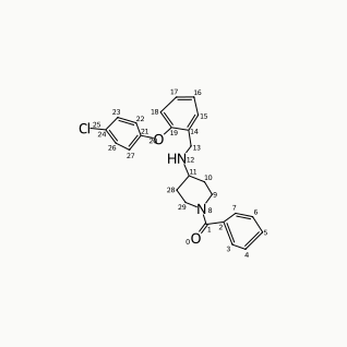 O=C(c1ccccc1)N1CCC(NCc2ccccc2Oc2ccc(Cl)cc2)CC1